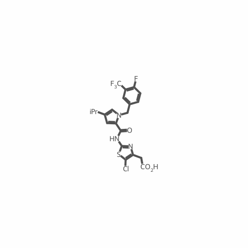 CC(C)c1cc(C(=O)Nc2nc(CC(=O)O)c(Cl)s2)n(Cc2ccc(F)c(C(F)(F)F)c2)c1